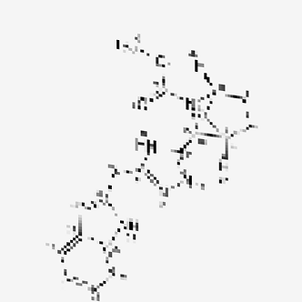 CC(C)(C)OC(=O)N1[C@@H]2CC[C@@H](C2)[C@H]1c1nnc(Cc2cc3ccccc3[nH]2)[nH]1